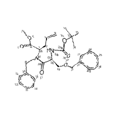 C=CC[C@H](C(=O)OC)N(Cc1ccccc1)C(=O)[C@H](COCc1ccccc1)NC(=O)OC(C)(C)C